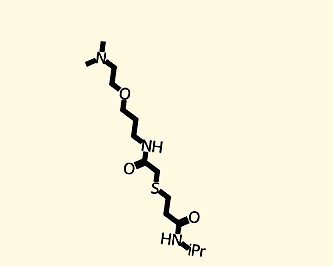 CC(C)NC(=O)CCSCC(=O)NCCCOCCN(C)C